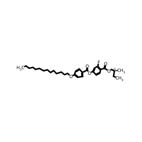 CCCCCCCCCCCCCCOc1ccc(C(=O)Oc2ccc(C(=O)OC[C@@H](C)CC)c(F)c2)cc1